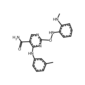 CNc1ccccc1NOc1ncc(C(N)=O)c(Nc2cccc(C)c2)n1